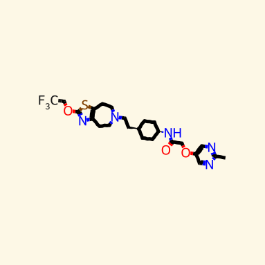 Cc1ncc(OCC(=O)N[C@H]2CC[C@H](CCN3CCc4nc(OCC(F)(F)F)sc4CC3)CC2)cn1